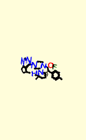 Cc1ccc(C(C(=O)N2CCN(c3ncnc4c3C(C)CC4)CC2)[C@@H]2CCC(C)(C)N2)c(F)c1